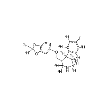 [2H]c1c([2H])c([C@@]2([2H])C(COc3ccc4c(c3)OC([2H])([2H])O4)C([2H])([2H])NC([2H])([2H])C2([2H])[2H])c([2H])c([2H])c1F